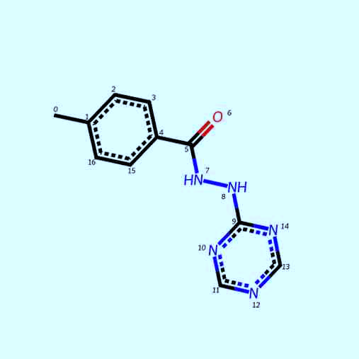 Cc1ccc(C(=O)NNc2ncncn2)cc1